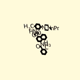 CCCN1CCN(c2ccc(C)c(NS(=O)(=O)c3ccc(NC(=O)c4ccccc4C)c4ccccc34)c2)CC1